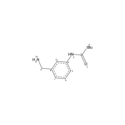 CC(C)(C)C(=O)Nc1cccc(CN)c1